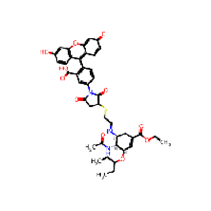 CCOC(=O)C1=C[C@@H](OC(CC)CC)[C@H](NC(C)=O)[C@@H](NCCSC2CC(=O)N(c3ccc(-c4c5ccc(=O)cc-5oc5cc(O)ccc45)c(C(=O)O)c3)C2=O)C1